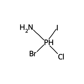 N[PH](Cl)(Br)I